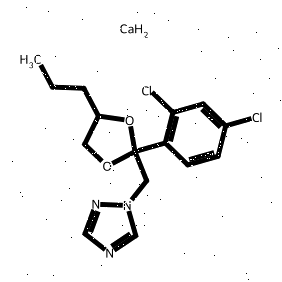 CCCC1COC(Cn2cncn2)(c2ccc(Cl)cc2Cl)O1.[CaH2]